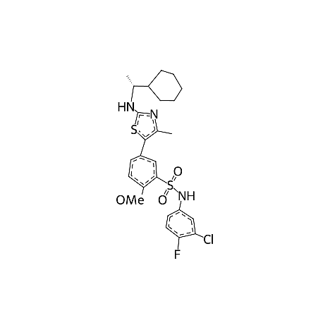 COc1ccc(-c2sc(N[C@H](C)C3CCCCC3)nc2C)cc1S(=O)(=O)Nc1ccc(F)c(Cl)c1